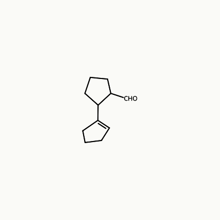 O=CC1CCCC1C1=CCCC1